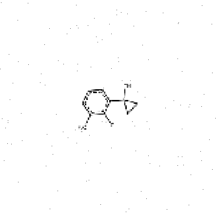 N#CC1(c2cccc(C(F)(F)F)c2Cl)CC1